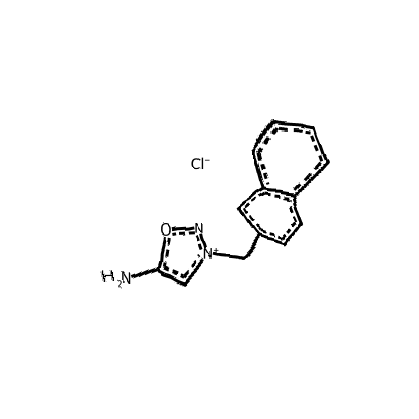 Nc1c[n+](Cc2ccc3ccccc3c2)no1.[Cl-]